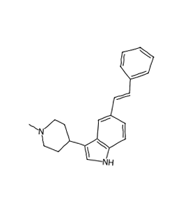 CN1CCC(c2c[nH]c3ccc(C=Cc4ccccc4)cc23)CC1